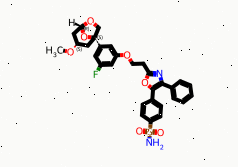 CO[C@@H]1C[C@@H]2OC[C@@](c3cc(F)cc(OCCc4nc(-c5ccccc5)c(-c5ccc(S(N)(=O)=O)cc5)o4)c3)(C1)O2